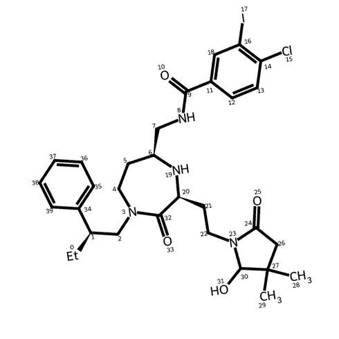 CC[C@H](CN1CC[C@@H](CNC(=O)c2ccc(Cl)c(I)c2)N[C@@H](CCN2C(=O)CC(C)(C)C2O)C1=O)c1ccccc1